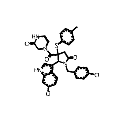 Cc1ccc(SC2(C(=O)N3CCNC(=O)C3)CC(=O)N(Cc3ccc(Cl)cc3)C2c2c[nH]c3cc(Cl)ccc23)cc1